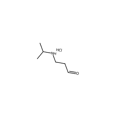 CC(C)NCCC=O.Cl